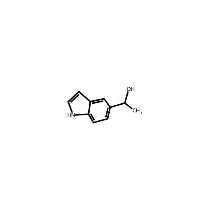 CC(O)c1ccc2[nH]ccc2c1